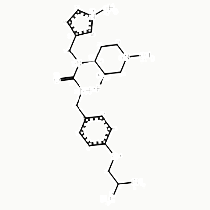 CC(C)COc1ccc(CNC(=O)N(Cc2ccn(C)c2)[C@H]2CCN(C)C[C@H]2F)cc1